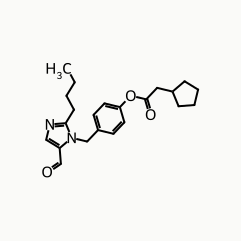 CCCCc1ncc(C=O)n1Cc1ccc(OC(=O)CC2CCCC2)cc1